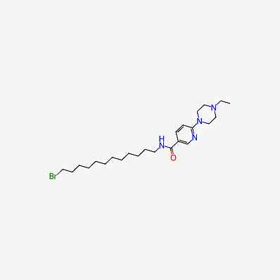 CCN1CCN(c2ccc(C(=O)NCCCCCCCCCCCCBr)cn2)CC1